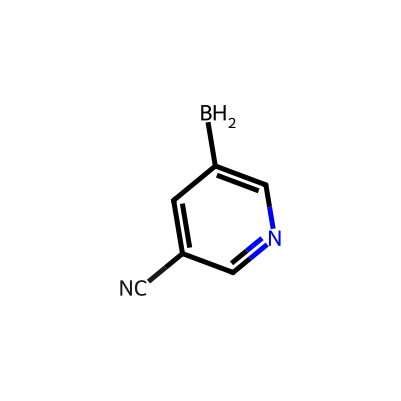 Bc1cncc(C#N)c1